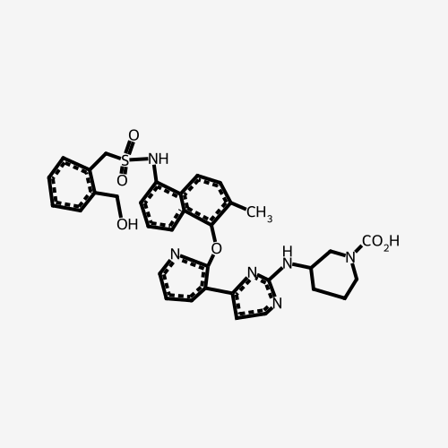 Cc1ccc2c(NS(=O)(=O)Cc3ccccc3CO)cccc2c1Oc1ncccc1-c1ccnc(NC2CCCN(C(=O)O)C2)n1